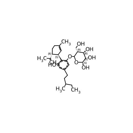 C=C(C)[C@@H]1CCC(C)=C[C@H]1c1c(O)cc(CCC(C)CC)cc1OC1O[C@H](O)[C@@H](O)[C@H](O)[C@H]1CO